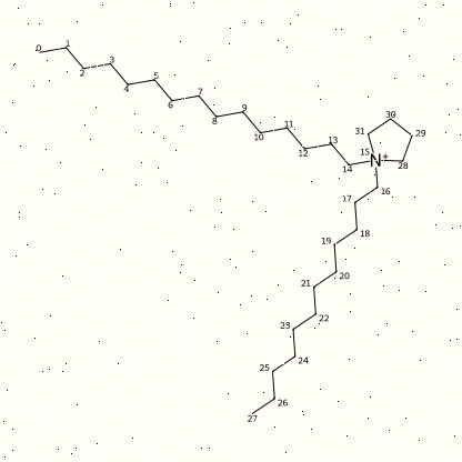 CCCCCCCCCCCCCCC[N+]1(CCCCCCCCCCCC)CCCC1